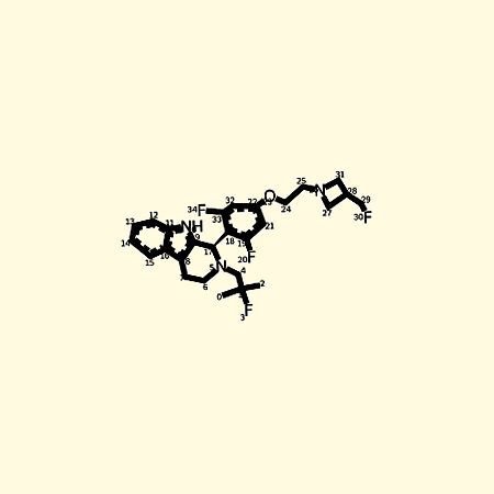 CC(C)(F)CN1CCc2c([nH]c3ccccc23)[C@H]1c1c(F)cc(OCCN2CC(CF)C2)cc1F